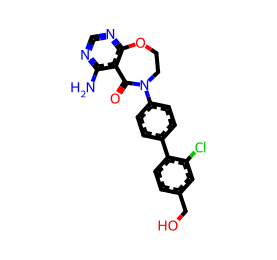 Nc1ncnc2c1C(=O)N(c1ccc(-c3ccc(CO)cc3Cl)cc1)CCO2